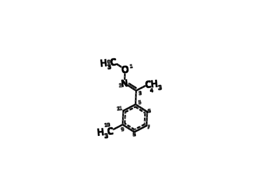 CON=C(C)c1cccc(C)c1